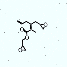 C=CCC(CC1CO1)=C(C)C(=O)OCC1CO1